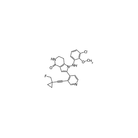 COc1c(Cl)cccc1Nn1c(-c2ccncc2C#CC2(CF)CC2)cc2c1CCNC2=O